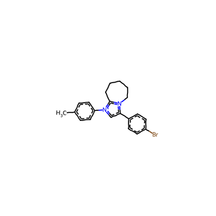 Cc1ccc(-[n+]2cc(-c3ccc(Br)cc3)n3c2CCCCC3)cc1